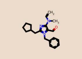 C=CN(C)c1nc(CC2CCCC2)n(Cc2ccccc2)c1C=O